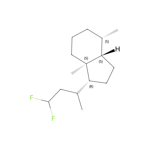 CC(CC(F)F)[C@H]1CC[C@H]2[C@@H](C)CCC[C@]12C